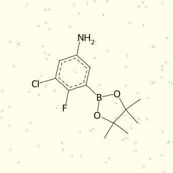 CC1(C)OB(c2cc(N)cc(Cl)c2F)OC1(C)C